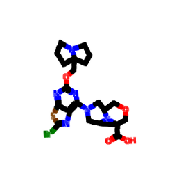 O=C(O)C12COCC3CN(c4nc(OCC56CCCN5CCC6)nc5sc(Br)nc45)CC1N32